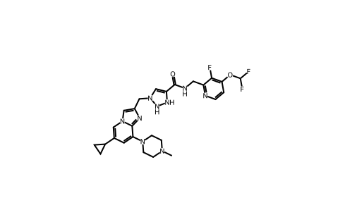 CN1CCN(c2cc(C3CC3)cn3cc(CN4C=C(C(=O)NCc5nccc(OC(F)F)c5F)NN4)nc23)CC1